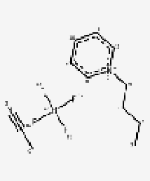 CC#N.CCCC[n+]1ccccc1.F[B-](F)(F)F